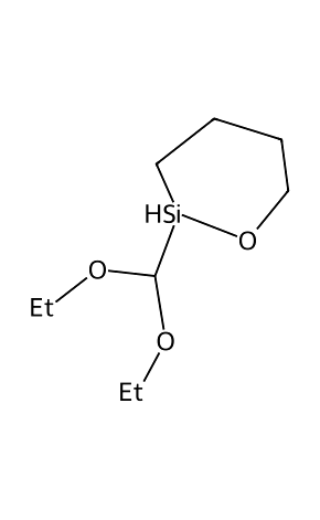 CCOC(OCC)[SiH]1CCCCO1